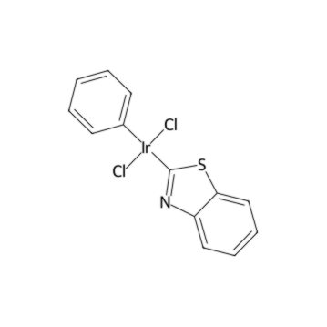 [Cl][Ir]([Cl])([c]1ccccc1)[c]1nc2ccccc2s1